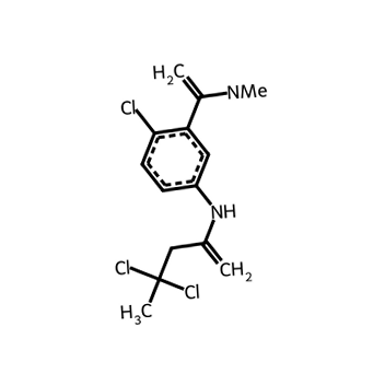 C=C(CC(C)(Cl)Cl)Nc1ccc(Cl)c(C(=C)NC)c1